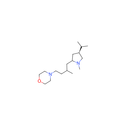 CC(CCN1CCOCC1)CC1C[C@@H](C(C)C)CN1C